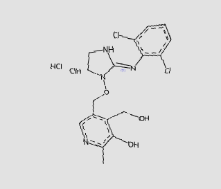 Cc1ncc(CON2CCN/C2=N\c2c(Cl)cccc2Cl)c(CO)c1O.Cl.Cl